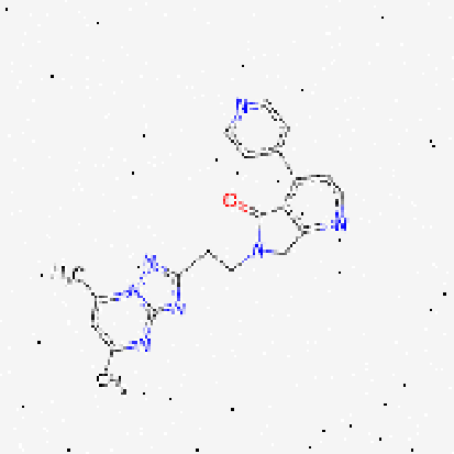 Cc1cc(C)n2nc(CCN3Cc4nccc(-c5ccncc5)c4C3=O)nc2n1